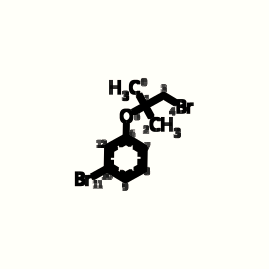 CC(C)(CBr)Oc1cccc(Br)c1